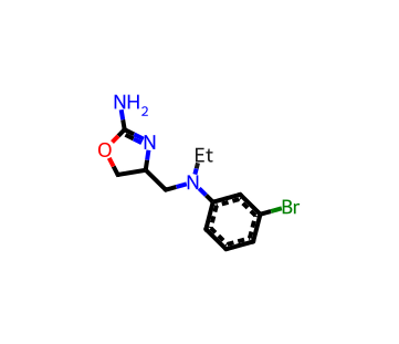 CCN(CC1COC(N)=N1)c1cccc(Br)c1